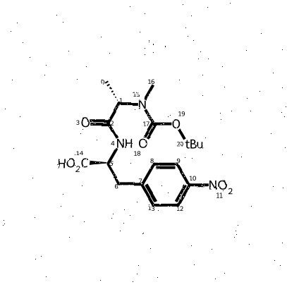 C[C@@H](C(=O)N[C@@H](Cc1ccc([N+](=O)[O-])cc1)C(=O)O)N(C)C(=O)OC(C)(C)C